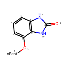 CCCCCOc1cc[c]c2[nH]c(=O)[nH]c12